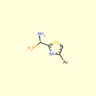 CC(=O)c1csc([C@H](N)P)n1